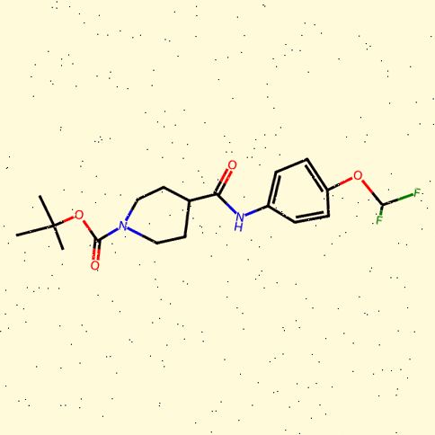 CC(C)(C)OC(=O)N1CCC(C(=O)Nc2ccc(OC(F)F)cc2)CC1